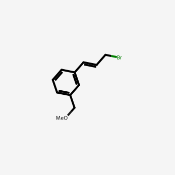 COCc1cccc(C=CCBr)c1